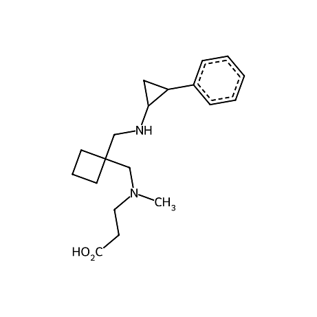 CN(CCC(=O)O)CC1(CNC2CC2c2ccccc2)CCC1